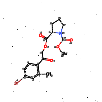 Cc1cc(Br)ccc1C(=O)COC(=O)C1CCCN1C(=O)OC(C)(C)C